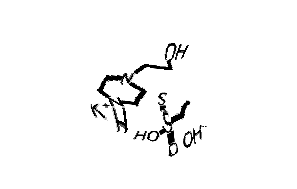 CCS(=O)(O)=S.OCCN1CCNCC1.[K+].[OH-]